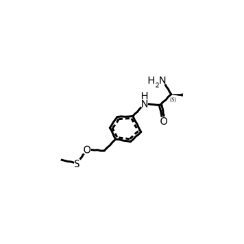 CSOCc1ccc(NC(=O)[C@H](C)N)cc1